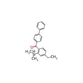 CCc1ccc(C(=O)c2ccc(-c3ccccc3)cc2)c([SiH](C)C)c1